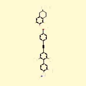 CCCCC1CCc2c(cc(F)c(OC(=O)c3ccc(C#Cc4cc(CC)c(-c5ccc(N=C=S)c(Cl)c5)c(CC)c4)cc3)c2F)C1